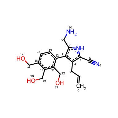 C=CCc1c(C#N)[nH]c(CN)c1-c1ccc(CO)c(CO)c1CO